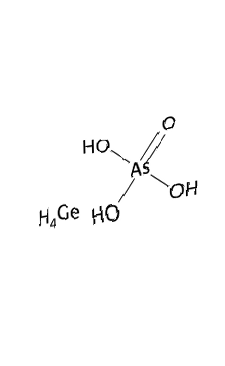 O=[As](O)(O)O.[GeH4]